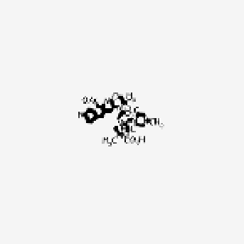 CC(=O)OCc1nc2c(cc1Cc1ccc(F)cc1)N(C(=O)CN1C[C@@H](C)N(C(=O)O)C[C@@H]1CN1[C@H](C)CN(C)C[C@H]1C)C(C)CO2